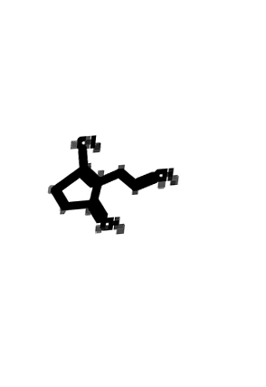 C=CCC1=C(C)[CH]CC1=C